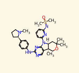 CN1CCC[C@@H]1c1ccc(Nc2ncc3c(n2)N(c2cccc(N=S(C)(C)=O)n2)[C@H]2CC(C)(C)OC[C@@]32C)cc1